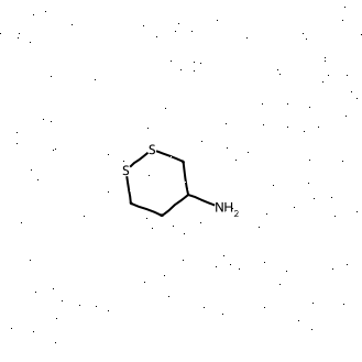 NC1CCSSC1